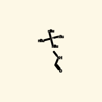 CCCC[N+](CCCC)(CCCC)CCCC.CNC=O